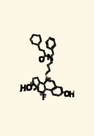 C[C@]12C[C@H](F)C3c4ccc(O)cc4C[C@@H](CCCCN(Cc4ccccc4)C(=O)CCC4CCCCC4)C3C1CC[C@@H]2O